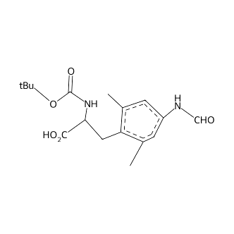 Cc1cc(NC=O)cc(C)c1CC(NC(=O)OC(C)(C)C)C(=O)O